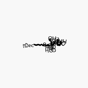 CCCCCCCCCCCCCCCCOCCO[C@H]1[C@@H](OP(=O)(O)O)[C@H](n2ccc(=O)[nH]c2=O)O[C@@H]1CO